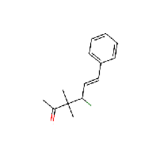 CC(=O)C(C)(C)C(Cl)/C=C/c1ccccc1